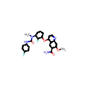 COc1cc2nccc(Oc3cccc(N(C)C(=O)Nc4ccc(F)cc4)c3F)c2cc1C(N)=O